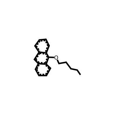 CCCCCOc1c2ccccc2cc2ccccc12